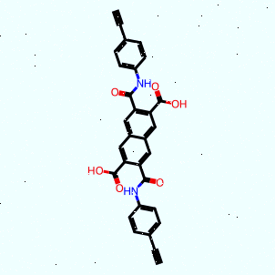 C#Cc1ccc(NC(=O)c2cc3cc(C(=O)O)c(C(=O)Nc4ccc(C#C)cc4)cc3cc2C(=O)O)cc1